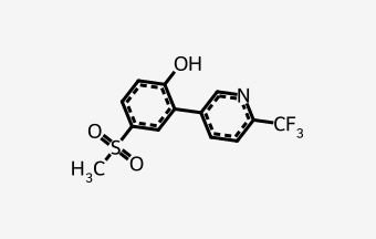 CS(=O)(=O)c1ccc(O)c(-c2ccc(C(F)(F)F)nc2)c1